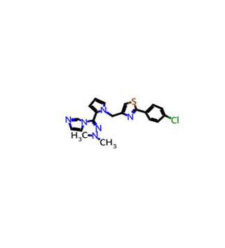 CN(C)N=C(c1cccn1Cc1csc(-c2ccc(Cl)cc2)n1)n1ccnc1